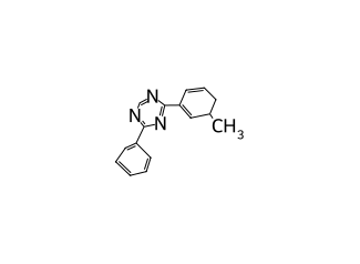 CC1C=C(c2ncnc(-c3ccccc3)n2)C=CC1